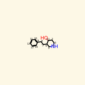 OC1CCNCC1[CH]Cc1ccccc1